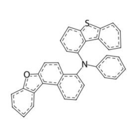 c1ccc(N(c2cccc3c2ccc2oc4ccccc4c23)c2cccc3sc4ccccc4c23)cc1